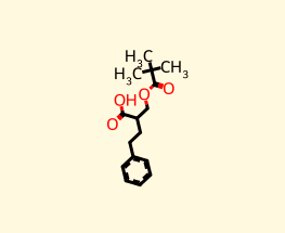 CC(C)(C)C(=O)OCC(CCc1ccccc1)C(=O)O